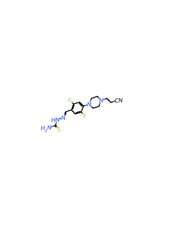 N#CCCN1CCN(c2cc(F)c(C=NNC(N)=S)cc2F)CC1